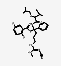 CNC(=NC#N)NCCCC1(c2ccccc2)SC(c2cc(F)ccc2F)=NN1C(=O)C(OCC(C)C)C(C)C